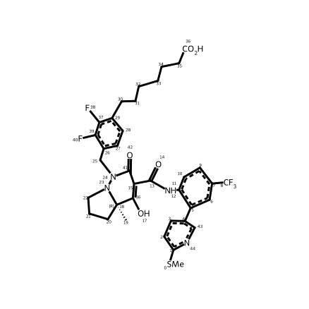 CSc1ccc(-c2cc(C(F)(F)F)ccc2NC(=O)C2=C(O)[C@@]3(C)CCCN3N(Cc3ccc(CCCCCCC(=O)O)c(F)c3F)C2=O)cn1